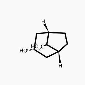 O=C(O)C1[C@@H]2CC[C@H]1C[C@@H](O)C2